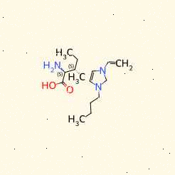 C=CN1C=CN(CCCC)C1.CC[C@H](C)[C@H](N)C(=O)O